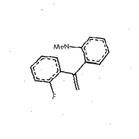 C=C(c1ccccc1F)c1ccccc1NC